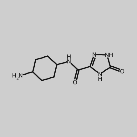 NC1CCC(NC(=O)c2n[nH]c(=O)[nH]2)CC1